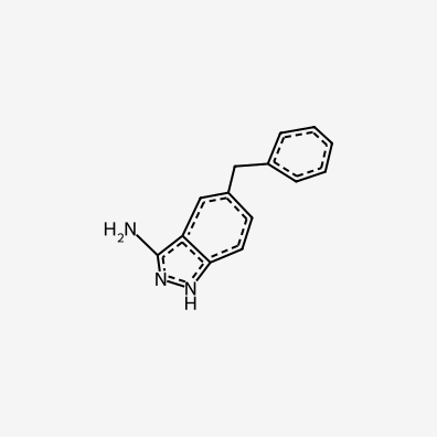 Nc1n[nH]c2ccc(Cc3ccccc3)cc12